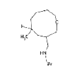 CC(C)NCC1CCCCCCC(C)(I)C1